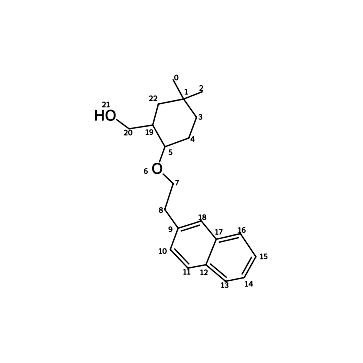 CC1(C)CCC(OCCc2ccc3ccccc3c2)C(CO)C1